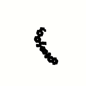 CN1CCN(c2cccc([C@H](O)C(=O)N3CC4=C(C3)CN(S(=O)(=O)c3ccc5nccnc5c3)C4)c2)CC1